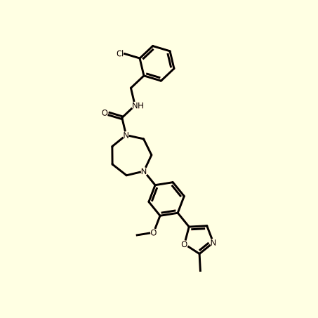 COc1cc(N2CCCN(C(=O)NCc3ccccc3Cl)CC2)ccc1-c1cnc(C)o1